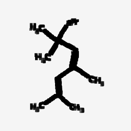 CCCC(C)(C)C=C(C)C=C(C)C